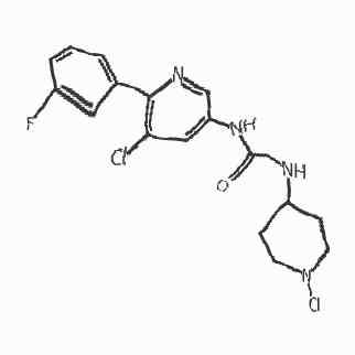 O=C(Nc1cnc(-c2cccc(F)c2)c(Cl)c1)NC1CCN(Cl)CC1